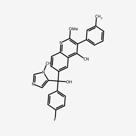 COc1nc2ccc(C(O)(c3ccc(F)cc3)c3cncn3C)cc2c(C#N)c1-c1cccc(C)c1